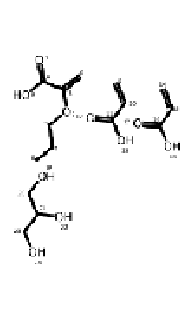 C=C(OCCC)C(=O)O.C=CC(=O)O.C=CC(=O)O.OCC(O)CO